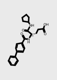 O=C(O)CC[C@H](NC(=O)c1ccc(-c2ccccc2)cc1)C(=O)NC1CCCC1